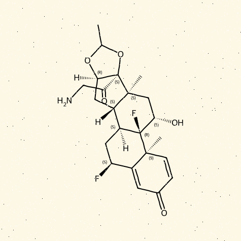 CC1O[C@@H]2C[C@H]3[C@@H]4C[C@H](F)C5=CC(=O)C=C[C@]5(C)[C@@]4(F)[C@@H](O)C[C@]3(C)[C@]2(C(=O)CN)O1